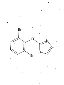 Brc1cccc(Br)c1Oc1n[c]co1